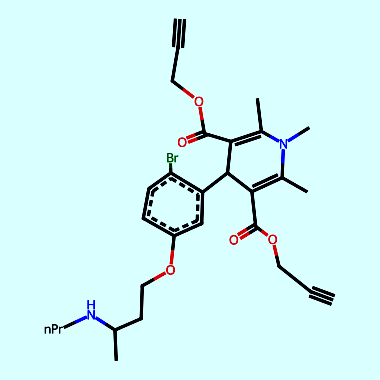 C#CCOC(=O)C1=C(C)N(C)C(C)=C(C(=O)OCC#C)C1c1cc(OCCC(C)NCCC)ccc1Br